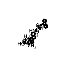 CC(CCC(=O)O)[C@H]1CCC2C3CC[C@@H]4C[C@@H](NC(=O)CNC(=O)OCC5c6ccccc6-c6ccccc65)CC[C@]4(C)C3C[C@H](O)[C@@]21C